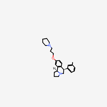 Cc1cccc([C@H]2CN3CCC[C@H]3c3cc(OCCCN4CCCCC4)ccc32)c1